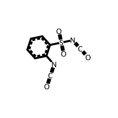 O=C=Nc1ccccc1S(=O)(=O)N=C=O